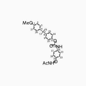 COc1ccc(C(C)(C)c2ccc(OC(=O)Nc3ccc(ONC(C)=O)cc3)cc2)cc1